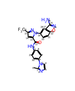 Cc1nccn1-c1ccc(NC(=O)c2cc(C(F)(F)F)nn2-c2ccc3onc(N)c3c2)cc1